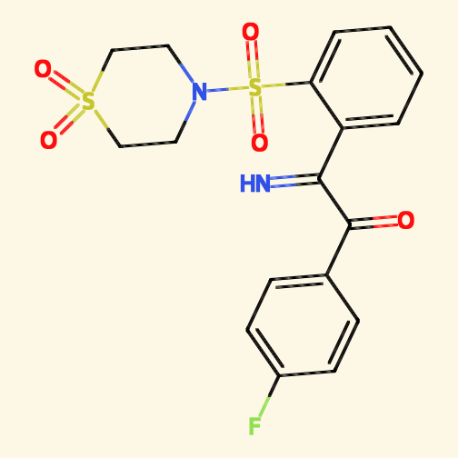 N=C(C(=O)c1ccc(F)cc1)c1ccccc1S(=O)(=O)N1CCS(=O)(=O)CC1